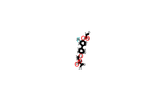 C=CC(=O)Oc1ccc(-c2ccc(O/C=C\OC(=O)C(=C)C)cc2)cc1F